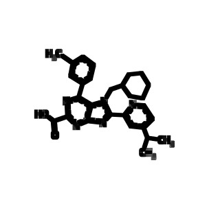 Cc1cccc(-c2nc(C(=O)O)nc3nc(-c4cc(C(C)C)ccn4)n(CC4CCCCC4)c23)c1